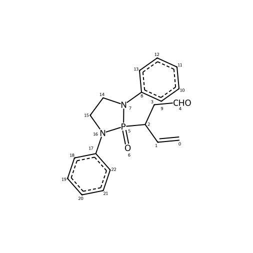 C=CC(CC=O)P1(=O)N(c2ccccc2)CCN1c1ccccc1